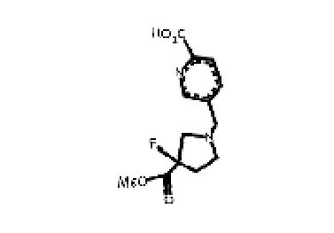 COC(=O)C1(F)CCN(Cc2ccc(C(=O)O)nc2)C1